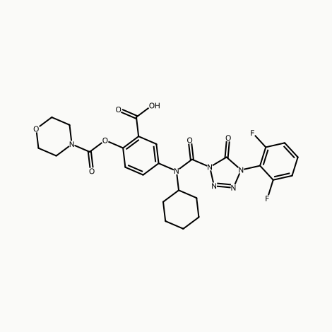 O=C(O)c1cc(N(C(=O)n2nnn(-c3c(F)cccc3F)c2=O)C2CCCCC2)ccc1OC(=O)N1CCOCC1